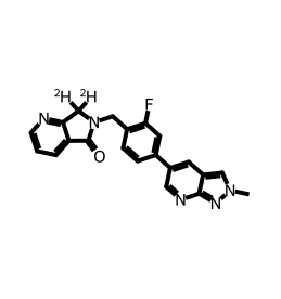 [2H]C1([2H])c2ncccc2C(=O)N1Cc1ccc(-c2cnc3nn(C)cc3c2)cc1F